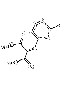 COC(=O)C(=Cc1cc[c]c(C)c1)C(=O)OC